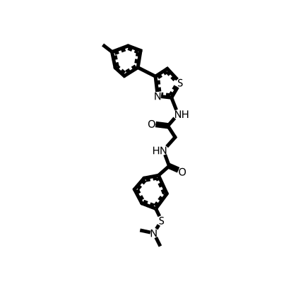 Cc1ccc(-c2csc(NC(=O)CNC(=O)c3cccc(SN(C)C)c3)n2)cc1